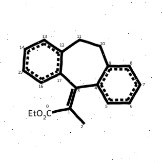 CCOC(=O)C(C)=C1c2ccccc2CCc2ccccc21